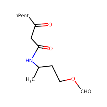 CCCCCC(=O)CC(=O)NC(C)CCOC=O